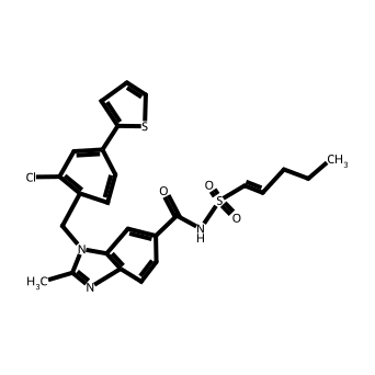 CCC/C=C/S(=O)(=O)NC(=O)c1ccc2nc(C)n(Cc3ccc(-c4cccs4)cc3Cl)c2c1